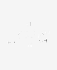 Cc1ccc2c(Cl)cc(B(O)O)c(C=O)c2c1